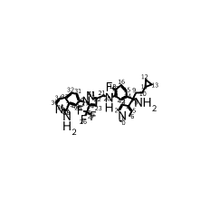 C=N/C=C\C(=C/C)C(N)(CCC1CC1)c1ccc(F)c(NCc2cc(C(F)(F)F)n(-c3ccc4ccnc(N)c4c3)n2)c1